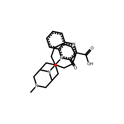 CN1CC2CC(n3c(=O)c(C(=O)O)nc4ccccc43)CC(C1)N2C1CCCCCCC1